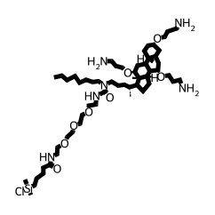 CCCCCCCCN(CCC[C@@H](C)C1CC[C@H]2C3[C@H](OCCCN)CC4C[C@H](OCCCN)CCC4(C)[C@H]3C[C@H](OCCCN)[C@@]12C)C(=O)NCCOCCOCCOCCNC(=O)CCCC[Si](C)(C)Cl